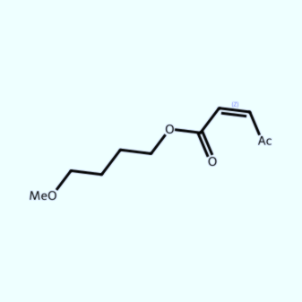 COCCCCOC(=O)/C=C\C(C)=O